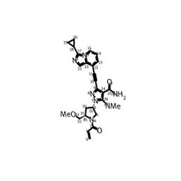 C=CC(=O)N1C[C@@H](n2nc(C#Cc3cccn4c(C5CC5)ncc34)c(C(N)=O)c2NC)C[C@@H]1COC